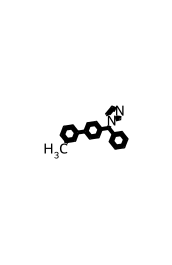 Cc1cccc(-c2ccc(C(c3ccccc3)n3ccnc3)cc2)c1